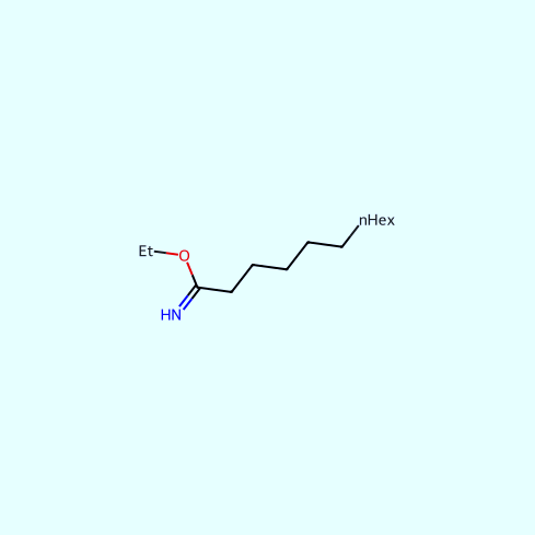 CCCCCCCCCCCC(=N)OCC